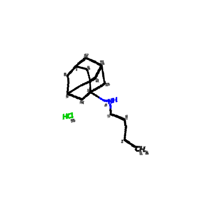 CCCCNC12CC3CC(CC(C3)C1)C2.Cl